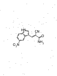 N#C/C(=C\c1c[nH]c2ccc([N+](=O)[O-])cc12)C(N)=O